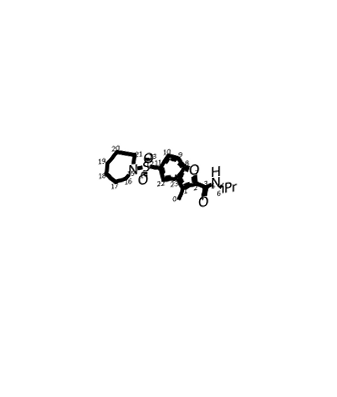 Cc1c(C(=O)NC(C)C)oc2ccc(S(=O)(=O)N3CCCCCC3)cc12